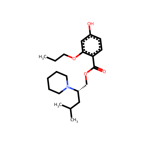 CCCOc1cc(O)ccc1C(=O)OC[C@H](CC(C)C)N1CCCCC1